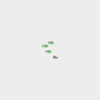 Br.Br.Br.[Ru]